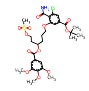 COc1cc(C(=O)OC(CCCOc2cc(C(=O)OC(C)(C)C)cc(Cl)c2C(N)=O)CCOS(C)(=O)=O)cc(OC)c1OC